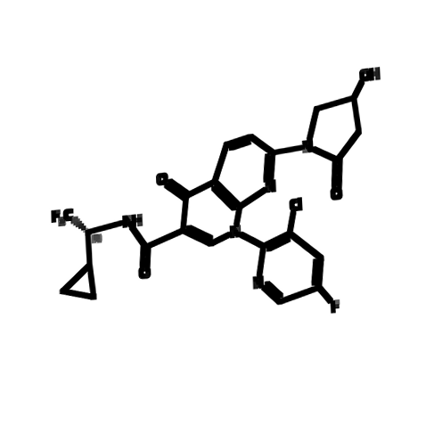 O=C(N[C@H](C1CC1)C(F)(F)F)c1cn(-c2ncc(F)cc2Cl)c2nc(N3CC(O)CC3=O)ccc2c1=O